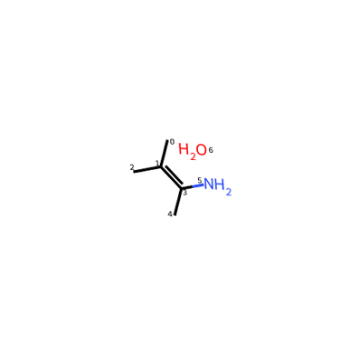 CC(C)=C(C)N.O